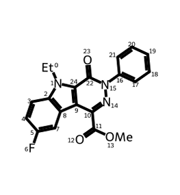 CCn1c2ccc(F)cc2c2c(C(=O)OC)nn(-c3ccccc3)c(=O)c21